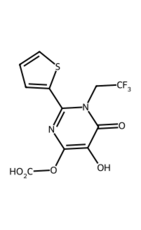 O=C(O)Oc1nc(-c2cccs2)n(CC(F)(F)F)c(=O)c1O